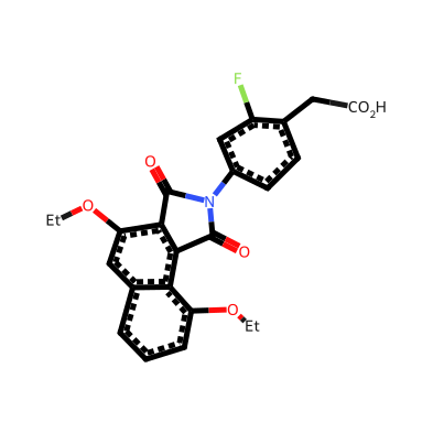 CCOc1cc2cccc(OCC)c2c2c1C(=O)N(c1ccc(CC(=O)O)c(F)c1)C2=O